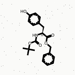 CC(C)(C)OC(=O)N[C@@H](Cc1ccc(O)cc1)C(=O)OCc1ccccc1